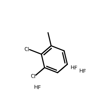 Cc1cccc(Cl)c1Cl.F.F.F